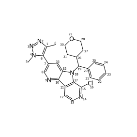 Cc1nnn(C)c1-c1cnc2c3ccnc(Cl)c3n(C(c3ccccc3)C3CCOCC3)c2c1